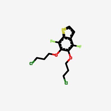 Fc1c(OCCCCl)c(OCCCCl)c(F)c2sccc12